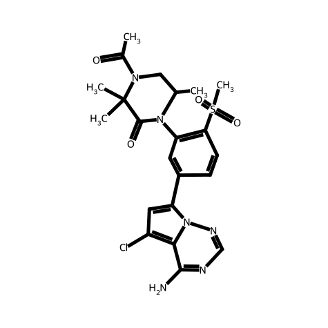 CC(=O)N1CC(C)N(c2cc(-c3cc(Cl)c4c(N)ncnn34)ccc2S(C)(=O)=O)C(=O)C1(C)C